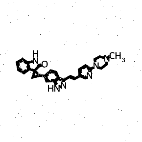 CN1CCN(c2ccc(/C=C/c3n[nH]c4cc(C5CC56C(=O)Nc5ccccc56)ccc34)cn2)CC1